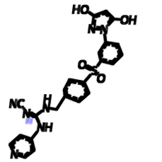 N#C/N=C(\NCc1ccc(S(=O)(=O)c2cccc(-n3nc(O)cc3O)c2)cc1)Nc1ccncc1